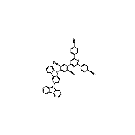 N#Cc1ccc(-c2cc(-c3cc(C#N)c(-n4c5ccccc5c5cc(-n6c7ccccc7c7ccccc76)ccc54)cc3C#N)nc(-c3ccc(C#N)cc3)n2)cc1